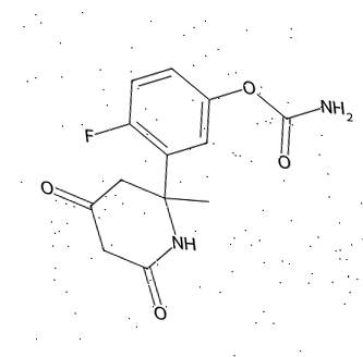 CC1(c2cc(OC(N)=O)ccc2F)CC(=O)CC(=O)N1